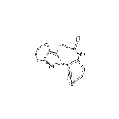 O=c1cc2c3ccccc3nc-2c2ncccc2[nH]1